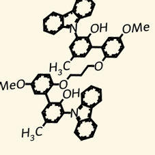 COc1ccc(OCCCOc2ccc(OC)cc2-c2cc(C)cc(-n3c4ccccc4c4ccccc43)c2O)c(-c2cc(C)cc(-n3c4ccccc4c4ccccc43)c2O)c1